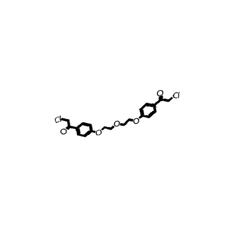 O=C(CCl)c1ccc(OCCOCCOc2ccc(C(=O)CCl)cc2)cc1